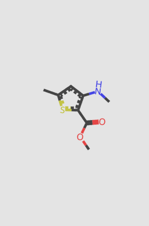 CNc1cc(C)sc1C(=O)OC